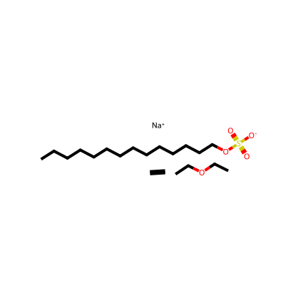 C=C.CCCCCCCCCCCCCCOS(=O)(=O)[O-].CCOCC.[Na+]